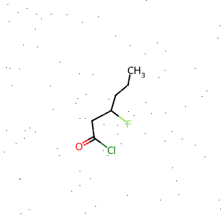 CCCC(F)CC(=O)Cl